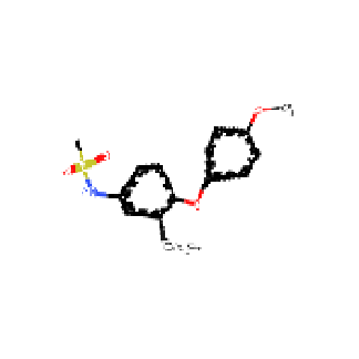 CCOC(=O)c1cc(NS(C)(=O)=O)ccc1Oc1ccc(OC(F)(F)F)cc1